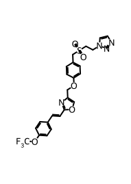 O=S(=O)(CCn1ccnn1)Cc1ccc(OCc2coc(C=Cc3ccc(OC(F)(F)F)cc3)n2)cc1